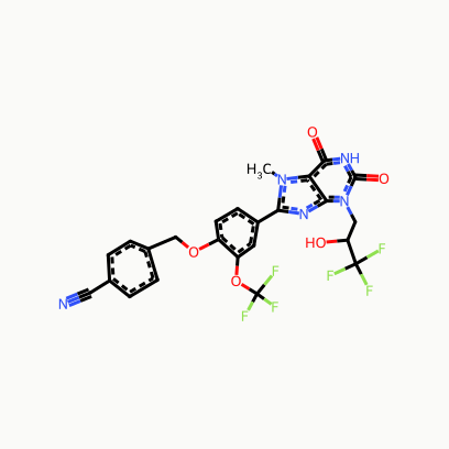 Cn1c(-c2ccc(OCc3ccc(C#N)cc3)c(OC(F)(F)F)c2)nc2c1c(=O)[nH]c(=O)n2CC(O)C(F)(F)F